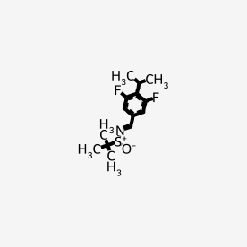 CC(C)c1c(F)cc(C=N[S+]([O-])C(C)(C)C)cc1F